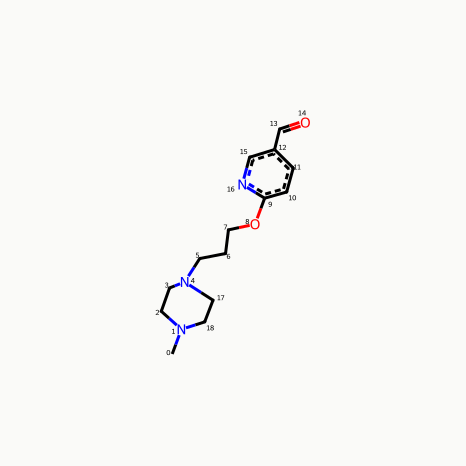 CN1CCN(CCCOc2ccc(C=O)cn2)CC1